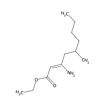 CCCCC(C)CC(N)=CC(=O)OCC